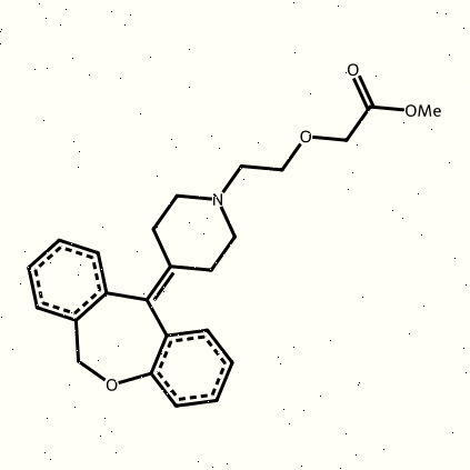 COC(=O)COCCN1CCC(=C2c3ccccc3COc3ccccc32)CC1